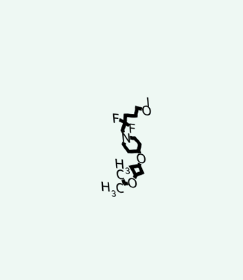 CC(C)OC1CC(OC2CCN(CC(F)(F)CCCOI)CC2)C1